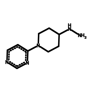 NNC1CCN(c2ccncn2)CC1